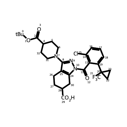 CC(C)(C)OC(=O)C1CCN(c2nn(C(=O)c3c(Cl)cccc3C3(C(F)(F)F)CC3)c3c2CCC(C(=O)O)C3)CC1